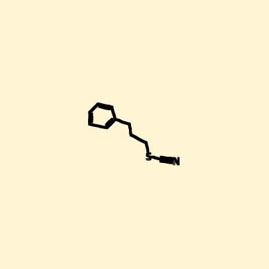 N#CSCCCc1ccccc1